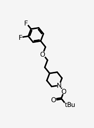 CC(C)(C)C(=O)ON1CCC(CCOCc2ccc(F)c(F)c2)CC1